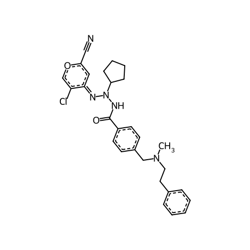 CN(CCc1ccccc1)Cc1ccc(C(=O)NN(N=c2cc(C#N)occ2Cl)C2CCCC2)cc1